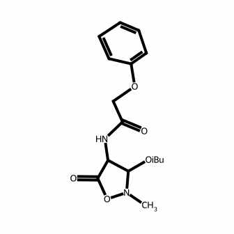 CC(C)COC1C(NC(=O)COc2ccccc2)C(=O)ON1C